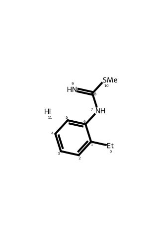 CCc1ccccc1NC(=N)SC.I